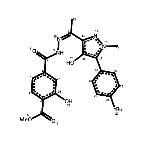 COC(=O)c1ccc(C(=O)N/N=C(/C)c2nn(C)c(-c3ccc(C(C)(C)C)cc3)c2O)cc1O